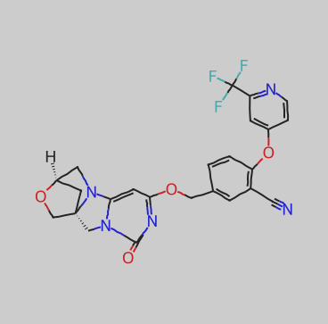 N#Cc1cc(COc2cc3n(c(=O)n2)C[C@@]24CO[C@@H](CN32)C4)ccc1Oc1ccnc(C(F)(F)F)c1